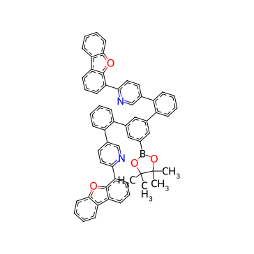 CC1(C)OB(c2cc(-c3ccccc3-c3ccc(-c4cccc5c4oc4ccccc45)nc3)cc(-c3ccccc3-c3ccc(-c4cccc5c4oc4ccccc45)nc3)c2)OC1(C)C